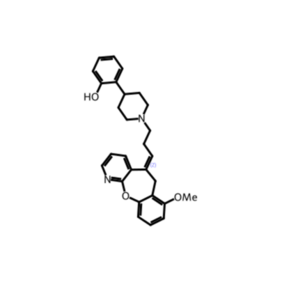 COc1cccc2c1C/C(=C/CCN1CCC(c3ccccc3O)CC1)c1cccnc1O2